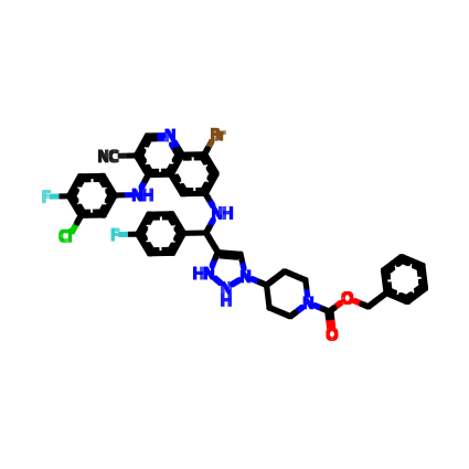 N#Cc1cnc2c(Br)cc(NC(C3=CN(C4CCN(C(=O)OCc5ccccc5)CC4)NN3)c3ccc(F)cc3)cc2c1Nc1ccc(F)c(Cl)c1